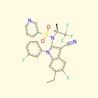 CCc1cc2c(cc1F)c(C#N)c(N([C@@H](C)C(F)(F)F)S(=O)(=O)c1cccnc1)n2-c1cccc(F)c1